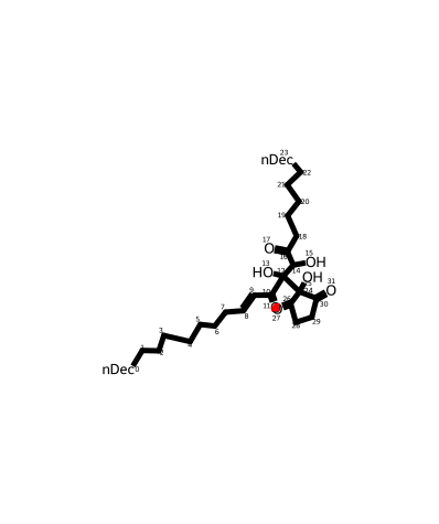 CCCCCCCCCCCCCCCCCC=CC(=O)C(O)(C(O)C(=O)CCCCCCCCCCCCCCC)C1(O)C(=O)CCC1=O